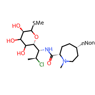 CCCCCCCCC[C@H]1CC[C@@H](C(=O)N[C@H]([C@H](C)Cl)[C@H]2OC(SC)[C@H](O)C(O)C2O)N(C)CC1